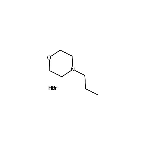 Br.CCCN1CCOCC1